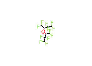 FC(F)C(OC(C(F)F)C(F)(F)C(F)F)C(F)(F)C(F)F